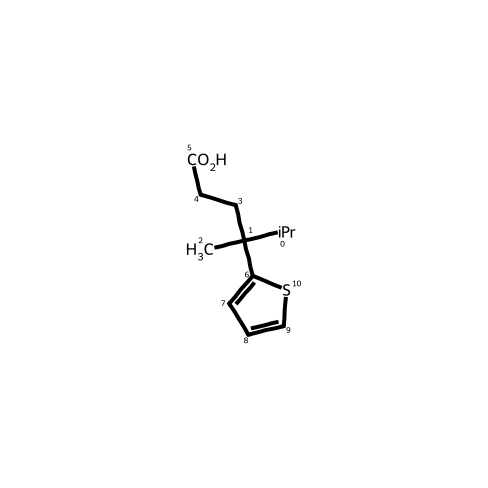 CC(C)C(C)(CCC(=O)O)c1cccs1